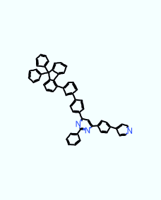 c1ccc(-c2nc(-c3ccc(-c4ccncc4)cc3)cc(-c3ccc(-c4cccc(-c5cccc6c5-c5ccccc5C6(c5ccccc5)c5ccccc5)c4)cc3)n2)cc1